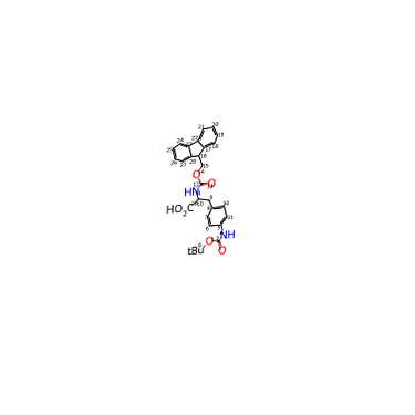 CC(C)(C)OC(=O)Nc1ccc(CC(NC(=O)OCC2c3ccccc3-c3ccccc32)C(=O)O)cc1